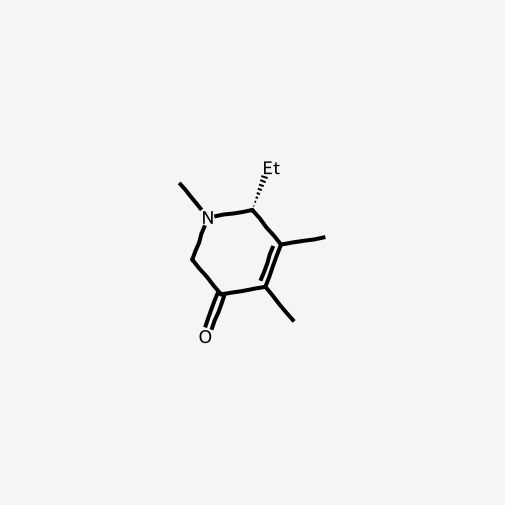 CC[C@@H]1C(C)=C(C)C(=O)CN1C